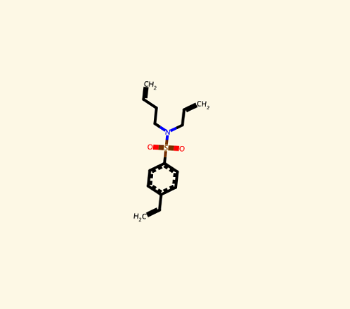 C=CCCN(CC=C)S(=O)(=O)c1ccc(C=C)cc1